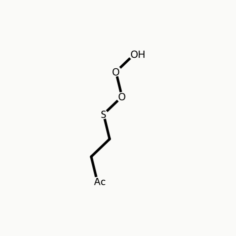 CC(=O)CCSOOO